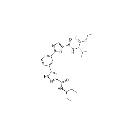 CCOC(=O)C(NC(=O)c1cnc(-c2cccc(-c3cc(C(=O)NC(CC)CC)n[nH]3)c2)o1)C(C)C